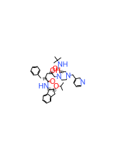 CC(C)O[C@@H]1Cc2ccccc2[C@@H]1NC(=O)[C@H](Cc1ccccc1)C[C@H](O)CN1CCN(Cc2cccnc2)C[C@H]1C(=O)NC(C)(C)C